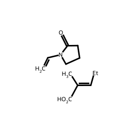 C=CN1CCCC1=O.CC/C=C(\C)C(=O)O